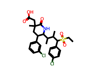 CCS(=O)(=O)C(c1ccc(Cl)cc1)C(C)C(C)C1NC(=O)C(C)(CC(=O)O)CC1c1cccc(Cl)c1